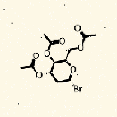 CC(=O)OC[C@H]1O[C@H](Br)C[C@H](OC(C)=O)[C@H]1OC(C)=O